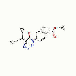 COC(=O)C1CCc2cc(NC(=O)[C@@H](N)C(C3CC3)C3CC3)ccc21